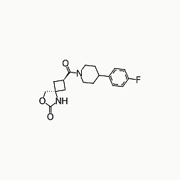 O=C1N[C@]2(CO1)C[C@H](C(=O)N1CCC(c3ccc(F)cc3)CC1)C2